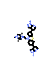 CN1C[C@H]2C[C@@H]1CN2CCN1c2ccc(-c3ccnc4[nH]ncc34)cc2Sc2cc(-c3ccnc4[nH]ncc34)ccc21